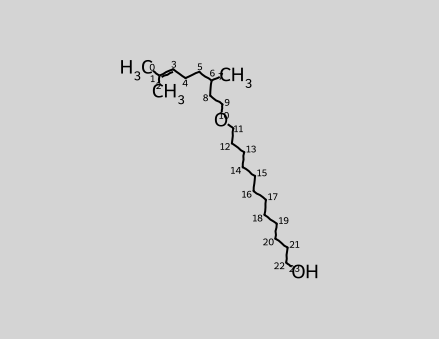 CC(C)=CCCC(C)CCOCCCCCCCCCCCCO